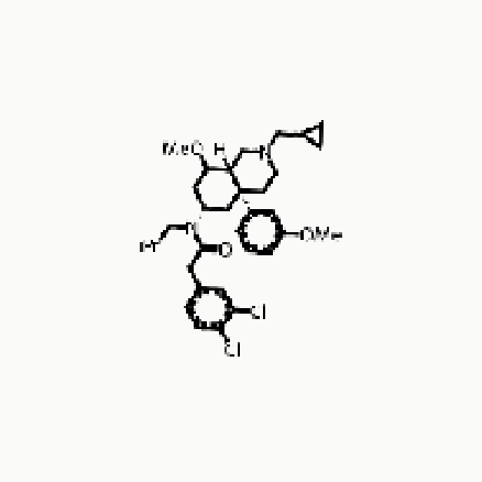 COc1cccc([C@@]23CCN(CC4CC4)C[C@H]2C(OC)C[C@@H](N(CC(C)C)C(=O)Cc2ccc(Cl)c(Cl)c2)C3)c1